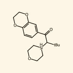 CC(C)(C)C(C(=O)c1ccc2c(c1)OCCO2)[SiH]1CCOCC1